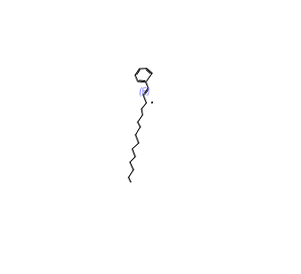 CCCCCCCCCCCC[CH]/C=C/c1ccccc1